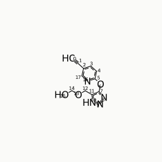 C#Cc1ccc(Oc2nn[nH]c2COCO)nc1